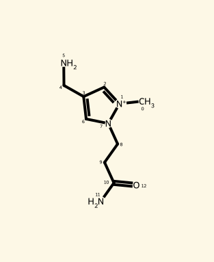 C[n+]1cc(CN)cn1CCC(N)=O